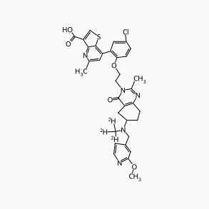 [2H]C([2H])([2H])N(Cc1ccnc(OC)c1)C1CCc2nc(C)n(CCOc3ccc(Cl)cc3-c3cc(C)nc4c(C(=O)O)csc34)c(=O)c2C1